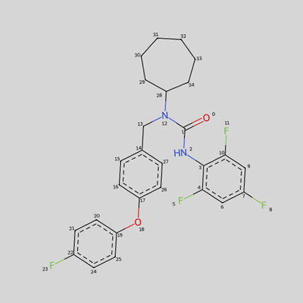 O=C(Nc1c(F)cc(F)cc1F)N(Cc1ccc(Oc2ccc(F)cc2)cc1)C1CCCCCC1